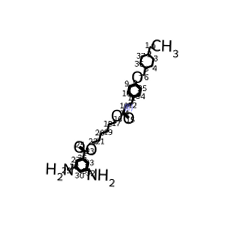 CCC1CCC(COc2ccc(/C=C/C(=O)OCCCCCCOC(=O)c3cc(N)cc(N)c3)cc2)CC1